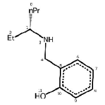 CCC[C@@H](CC)NCc1ccccc1O